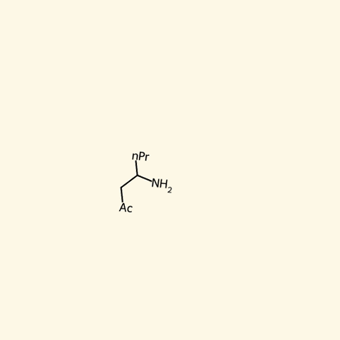 CCCC(N)CC(C)=O